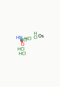 Cl.Cl.Cl.Cl.Cl.N=O.[Os]